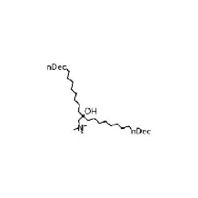 CCCCCCCCCCCCCCCCCCC(O)(CCCCCCCCCCCCCCCCCC)C[N+](C)(C)C